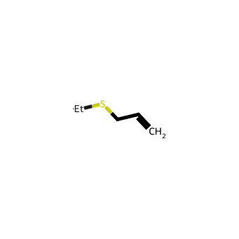 C=CCS[CH]C